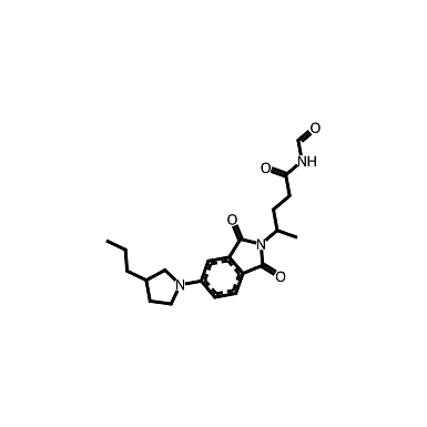 CCCC1CCN(c2ccc3c(c2)C(=O)N(C(C)CCC(=O)NC=O)C3=O)C1